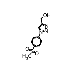 CS(=O)(=O)c1ccc(-n2cc(CO)nn2)cc1